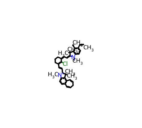 C=Cc1c(/C=C\C)ccc2c1C(C)(C)/C(=C\C=C1\CCCC(/C=C/C3=[N+](C)c4ccc5c(c4C3(C)C)C=CCC=C5)=C1Cl)N2C